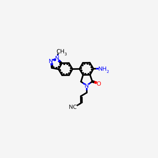 Cn1ncc2ccc(-c3ccc(N)c4c3CN(CC=CC#N)C4=O)cc21